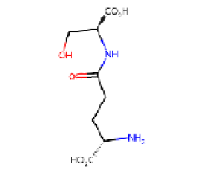 N[C@@H](CCC(=O)N[C@@H](CO)C(=O)O)C(=O)O